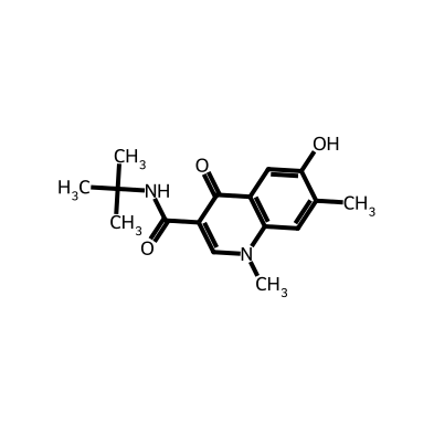 Cc1cc2c(cc1O)c(=O)c(C(=O)NC(C)(C)C)cn2C